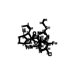 C/C=C\[C@@H]1[C@@H]2CC[C@H](CN1c1nc(SCC)nc3c(F)c(Cl)nc(Br)c13)N2C(=O)OC(C)(C)C